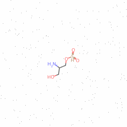 NC(CO)CO[SH](=O)=O